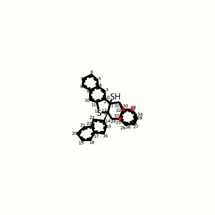 S[C@]12c3cc4ccccc4cc3S[C@@]1(c1ccc3ccccc3c1)C1c3ccccc3C2c2ccccc21